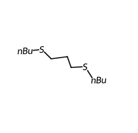 CCCCSCCCSCCCC